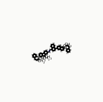 CC1(C)c2cc(/C=C/c3ccc(-c4ccc5cc(N6c7ccccc7C=CC6(C)C)ccc5c4)c4ccccc34)ccc2-c2ccc(N3c4ccccc4C=CC3(C)C)cc21